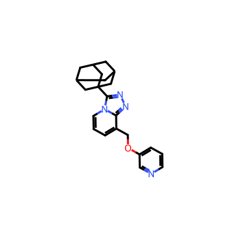 c1cncc(OCc2cccn3c(C45CC6CC(CC(C6)C4)C5)nnc23)c1